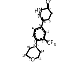 O=C1CCC(c2ccc(N3CCOCC3)c(C(F)(F)F)c2)=NN1